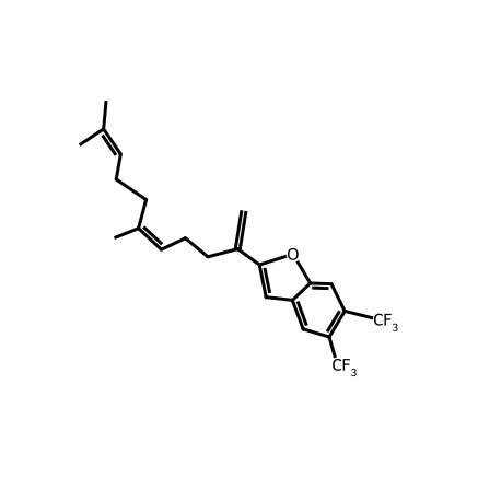 C=C(CCC=C(C)CCC=C(C)C)c1cc2cc(C(F)(F)F)c(C(F)(F)F)cc2o1